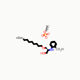 CCCCCCCCCCCCCCCCCCOC[C@H](CO)Nc1ccccc1C(=O)O.O=P([O-])([O-])[O-].[K+].[K+].[K+]